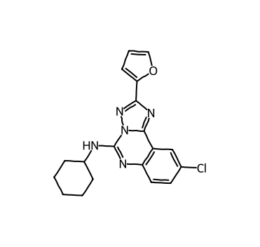 Clc1ccc2nc(NC3CCCCC3)n3nc(-c4ccco4)nc3c2c1